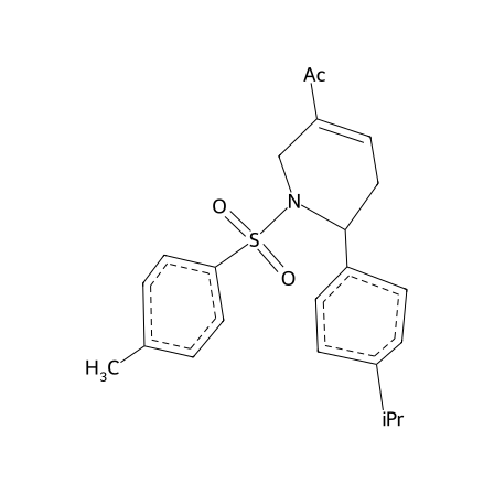 CC(=O)C1=CCC(c2ccc(C(C)C)cc2)N(S(=O)(=O)c2ccc(C)cc2)C1